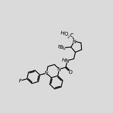 CC(C)(C)C1C(CNC(=O)N2CCN(c3ccc(F)cc3)c3ccccc32)CCN1C(=O)O